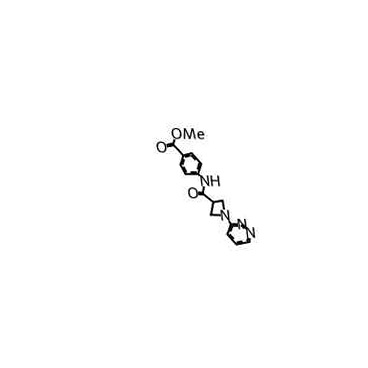 COC(=O)c1ccc(NC(=O)C2CN(c3cccnn3)C2)cc1